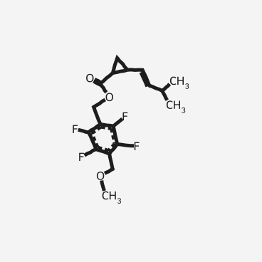 COCc1c(F)c(F)c(COC(=O)C2CC2C=CC(C)C)c(F)c1F